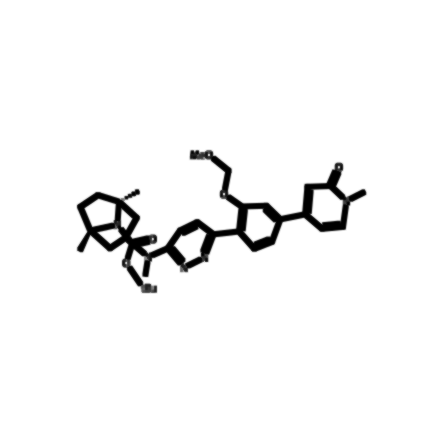 COCOc1cc(-c2ccn(C)c(=O)c2)ccc1-c1ccc(N(C)C2C[C@]3(C)CC[C@@](C)(C2)N3C(=O)OC(C)(C)C)nn1